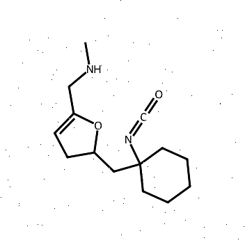 CNCC1=CCC(CC2(N=C=O)CCCCC2)O1